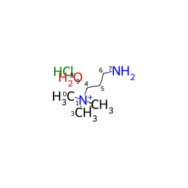 C[N+](C)(C)CCCN.Cl.O